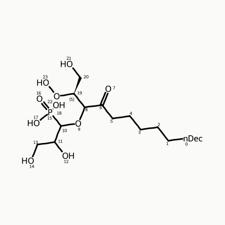 CCCCCCCCCCCCCCCC(=O)C(OC(C(O)CO)P(=O)(O)O)[C@H](CO)OO